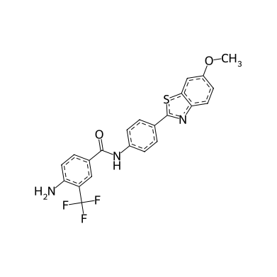 COc1ccc2nc(-c3ccc(NC(=O)c4ccc(N)c(C(F)(F)F)c4)cc3)sc2c1